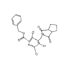 O=C(OCc1ccccc1)c1nc(Cl)c(Cl)c(N2C(=O)C3CCCC3C2=O)c1Cl